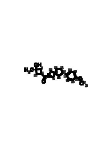 C[C@]1(O)C[C@@H](C(=O)N2CC3(CC[C@H](c4ccc(OC(F)(F)F)cc4)C3)C2)C1